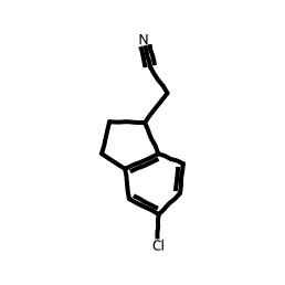 N#CCC1CCc2cc(Cl)ccc21